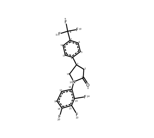 O=C1CC(c2ccc(C(F)(F)F)cc2)CN1c1ccc(F)c(F)c1F